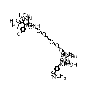 Cc1ncsc1-c1ccc(CNC(=O)[C@@H]2C[C@@H](O)CN2C(=O)[C@@H](NC(=O)COCCOCCOCCCCOCCOCCNC(=O)C[C@@H]2N=C(c3ccc(Cl)cc3)c3c(sc(C)c3C)-n3c(C)nnc32)C(C)(C)C)cc1